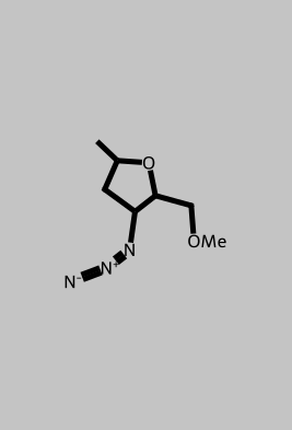 COCC1OC(C)CC1N=[N+]=[N-]